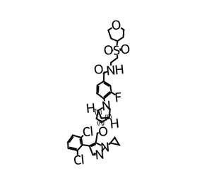 O=C(NCCS(=O)(=O)C1CCOCC1)c1ccc(N2C[C@@H]3C[C@H]2C[C@H]3OCc2c(-c3c(Cl)cccc3Cl)cnn2C2CC2)c(F)c1